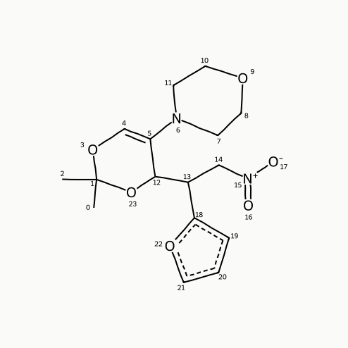 CC1(C)OC=C(N2CCOCC2)C(C(C[N+](=O)[O-])c2ccco2)O1